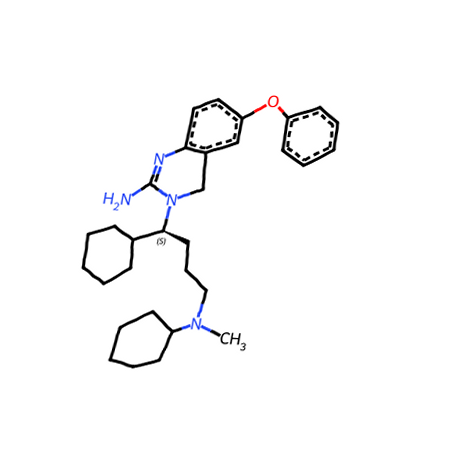 CN(CCC[C@@H](C1CCCCC1)N1Cc2cc(Oc3ccccc3)ccc2N=C1N)C1CCCCC1